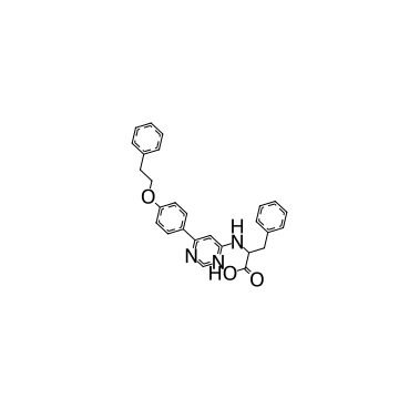 O=C(O)C(Cc1ccccc1)Nc1cc(-c2ccc(OCCc3ccccc3)cc2)ncn1